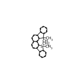 CC1(C)c2ccccc2-c2ccc3ccc4c(c3c21)[Si](C)(C)c1ccccc1-4